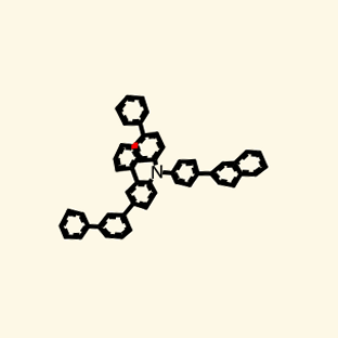 c1ccc(-c2ccc(N(c3ccc(-c4ccc5ccccc5c4)cc3)c3ccc(-c4cccc(-c5ccccc5)c4)cc3-c3ccccc3)cc2)cc1